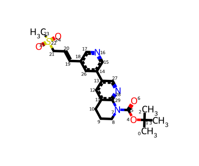 CC(C)(C)OC(=O)N1CCCc2cc(-c3cncc(C=CCS(C)(=O)=O)c3)cnc21